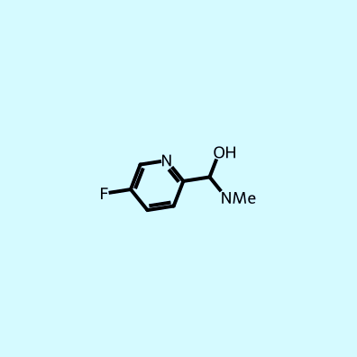 CNC(O)c1ccc(F)cn1